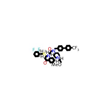 [2H]C([2H])(Sc1cc(=O)c2ccccc2n1C([2H])([2H])C(=O)N(Cc1ccc(-c2ccc(C(F)(F)F)cc2)cc1)C1CCN(C([2H])([2H])COC)CC1)c1cccc(F)c1F